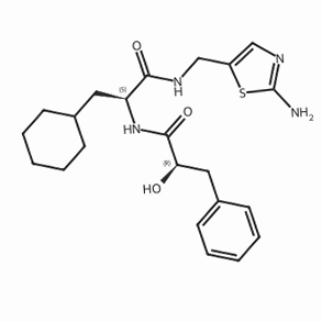 Nc1ncc(CNC(=O)[C@H](CC2CCCCC2)NC(=O)[C@H](O)Cc2ccccc2)s1